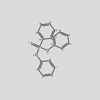 S=P(Oc1ccccc1)(Oc1ccccc1)c1ccccc1